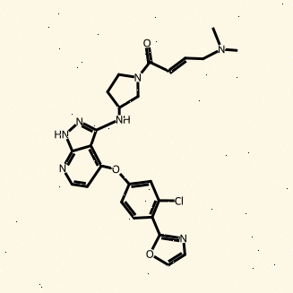 CN(C)C/C=C/C(=O)N1CCC(Nc2n[nH]c3nccc(Oc4ccc(-c5ncco5)c(Cl)c4)c23)C1